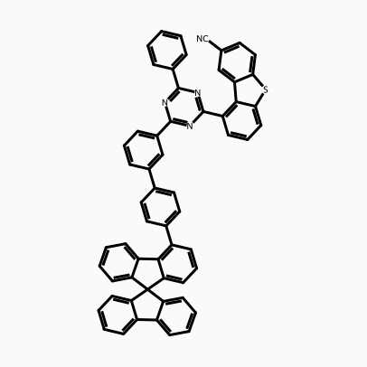 N#Cc1ccc2sc3cccc(-c4nc(-c5ccccc5)nc(-c5cccc(-c6ccc(-c7cccc8c7-c7ccccc7C87c8ccccc8-c8ccccc87)cc6)c5)n4)c3c2c1